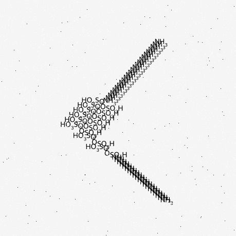 N.N.N.N.N.N.N.N.N.N.N.N.N.N.N.N.N.N.N.N.N.N.N.N.N.N.N.N.N.N.N.N.N.N.N.N.N.N.N.N.N.N.N.N.O=S(=O)(O)OOS(=O)(=O)O.O=S(=O)(O)OOS(=O)(=O)O.O=S(=O)(O)OOS(=O)(=O)O.O=S(=O)(O)OOS(=O)(=O)O.O=S(=O)(O)OOS(=O)(=O)O.O=S(=O)(O)OOS(=O)(=O)O.O=S(=O)(O)OOS(=O)(=O)O.O=S(=O)(O)OOS(=O)(=O)O